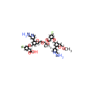 COCc1cc2cc(COc3cc(F)ccc3CC(=O)OC(C)COCc3cc4cc(COc5cc(F)ccc5CC(=O)O)cc(-c5ccnc(CN)c5)c4o3)cc(-c3ccnc(CN)c3)c2o1